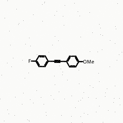 COc1ccc(C#Cc2ccc(F)cc2)cc1